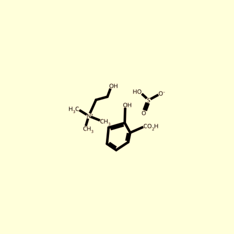 C[N+](C)(C)CCO.O=C(O)c1ccccc1O.O=S([O-])O